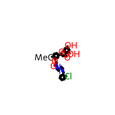 COc1ccc(-c2cc(=O)c3c(O)cc(O)cc3o2)cc1OCC(=O)N1CCN(Cc2ccccc2Cl)CC1